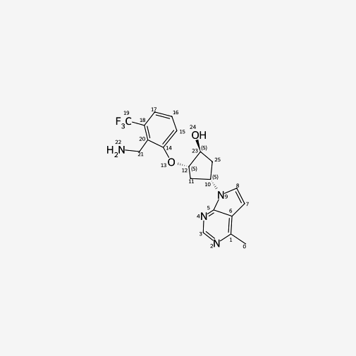 Cc1ncnc2c1ccn2[C@@H]1C[C@H](Oc2cccc(C(F)(F)F)c2CN)[C@@H](O)C1